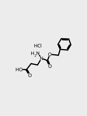 Cl.NN(CCC(=O)O)C(=O)OCc1ccccc1